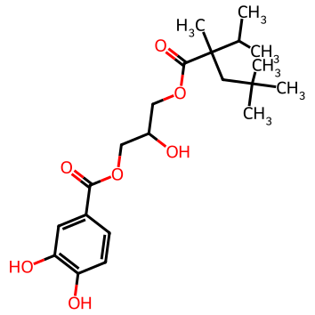 CC(C)C(C)(CC(C)(C)C)C(=O)OCC(O)COC(=O)c1ccc(O)c(O)c1